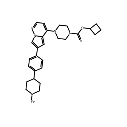 CC(C)N1CCC(c2ccc(-c3cc4c(N5CCN(C(=O)OC6CCC6)CC5)ccnn4c3)cc2)CC1